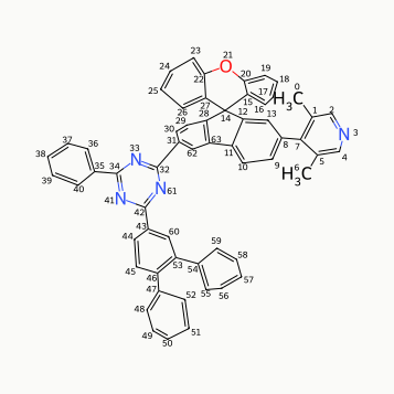 Cc1cncc(C)c1-c1ccc2c(c1)C1(c3ccccc3Oc3ccccc31)c1ccc(-c3nc(-c4ccccc4)nc(-c4ccc(-c5ccccc5)c(-c5ccccc5)c4)n3)cc1-2